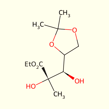 CCOC(=O)[C@@](C)(O)[C@H](O)C1COC(C)(C)O1